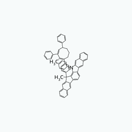 CC1=C(\c2ccc(C3(C)c4cc5ccccc5cc4-c4ccc5c6cc7ccccc7cc6n(-c6ccccc6)c5c43)cc2)CCCC(c2ccccc2)/C=C\1c1ccccc1